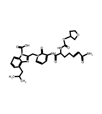 CC(C)Cc1cccc2c1nc(Cn1cccc(NC(=O)C(CC/C=C/C(N)=O)NC(=O)OC3CCOC3)c1=O)n2C(=O)O